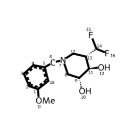 COc1cccc(CN2C[C@@H](O)[C@H](O)[C@@H](C(F)F)C2)c1